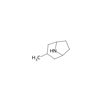 CC1CC2CCC(C1)N2